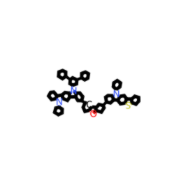 c1ccc(-c2cc(-c3ccccc3)cc(-n3c4ccc(-c5ccc6oc7ccc(-c8ccc9c(c8)c8cc%10sc%11ccccc%11c%10cc8n9-c8ccccc8)cc7c6c5)cc4c4cc5c(cc43)c3ccccc3n5-c3ccccc3)c2)cc1